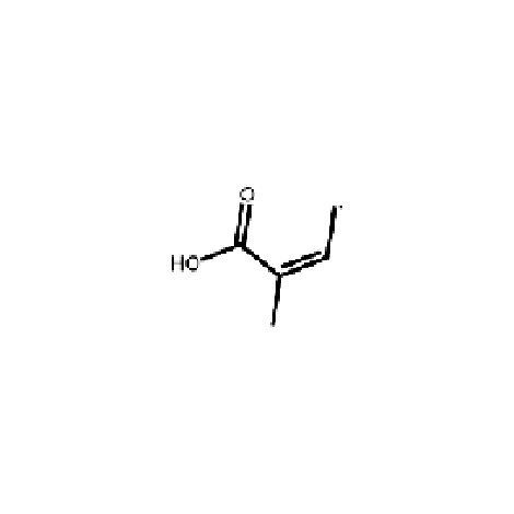 [CH2]/C=C(/C)C(=O)O